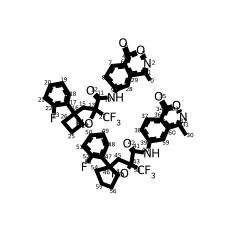 Cc1noc(=O)c2ccc(NC(=O)C(O)(CC3(c4ccccc4F)CCC3)C(F)(F)F)cc12.Cc1noc(=O)c2ccc(NC(=O)C(O)(CC3(c4ccccc4F)CCCC3)C(F)(F)F)cc12